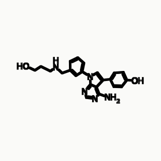 Nc1ncnc2c1c(-c1ccc(O)cc1)cn2-c1cccc(CNCCCO)c1